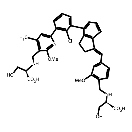 COc1cc(/C=C2\CCc3c2cccc3-c2cccc(-c3cc(C)c(CN[C@H](CO)C(=O)O)c(OC)n3)c2Cl)ccc1CN[C@H](CO)C(=O)O